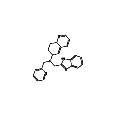 C1=CC2=CC(N(Cc3ccccn3)Cc3nc4ccccc4[nH]3)CCC2N=C1